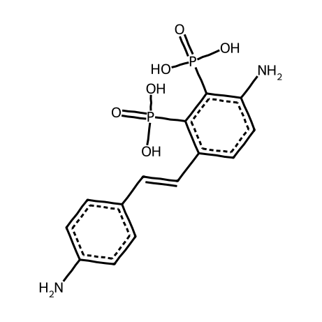 Nc1ccc(C=Cc2ccc(N)c(P(=O)(O)O)c2P(=O)(O)O)cc1